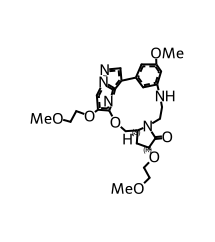 COCCOc1cn2ncc3c2nc1OC[C@@H]1C[C@@H](OCCOC)C(=O)N1CCNc1cc(OC)cc-3c1